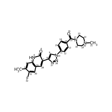 Cc1cc2[nH]c(=O)c(-c3cn(-c4ccc(C(=O)N5CCN(C)CC5)cc4)nn3)cc2cc1F